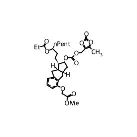 CCCCC[C@@H](CC[C@@H]1[C@H]2Cc3cccc(OCC(=O)OC)c3C[C@H]2C[C@H]1OC(=O)OCc1oc(=O)oc1C)OC(=O)CC